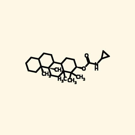 CC12CC[C@]3(C)C(CCC4CCCC[C@]43C)C1CC[C@@H](OC(=O)NC1CC1)C2(C)C